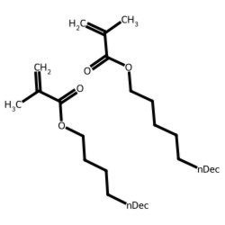 C=C(C)C(=O)OCCCCCCCCCCCCCC.C=C(C)C(=O)OCCCCCCCCCCCCCCC